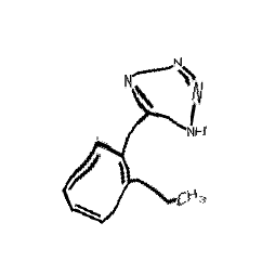 Cc1ccc[c]c1-c1nnn[nH]1